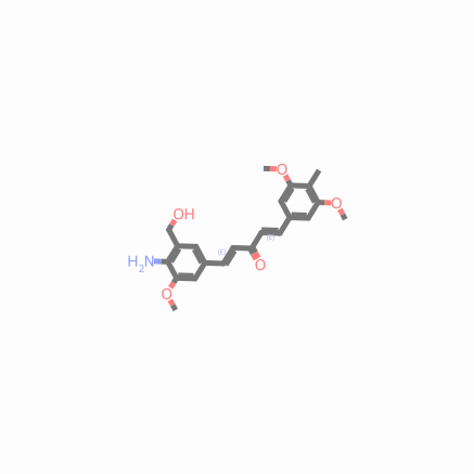 COc1cc(/C=C/C(=O)/C=C/c2cc(CO)c(N)c(OC)c2)cc(OC)c1C